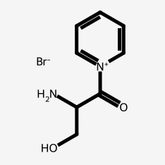 NC(CO)C(=O)[n+]1ccccc1.[Br-]